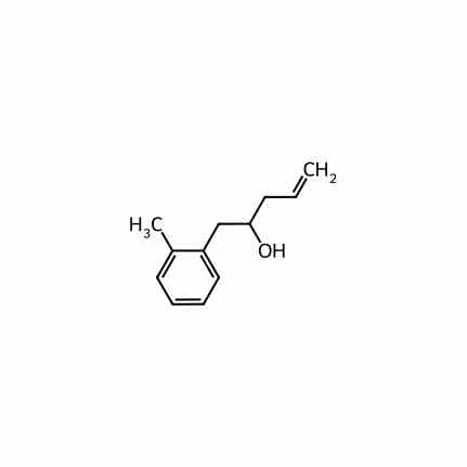 C=CCC(O)Cc1ccccc1C